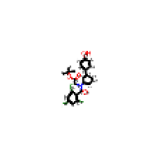 CC(C)(C)OC(=O)CN(C(=O)c1c(F)cc(F)cc1F)c1cccc(-c2ccc(O)cc2)c1